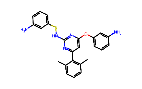 Cc1cccc(C)c1-c1cc(Oc2cccc(N)c2)nc(NSc2cccc(N)c2)n1